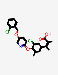 C/C(C(=O)O)=C(\C)c1cc(C)c(Oc2ccc(OCc3ccccc3Cl)cn2)c(Cl)c1